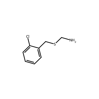 NCSCc1ccccc1Cl